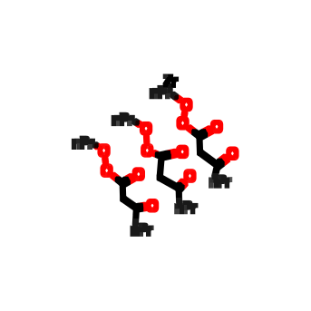 CCCOOC(=O)CC(=O)CCC.CCCOOC(=O)CC(=O)CCC.CCCOOC(=O)CC(=O)CCC.[Zr]